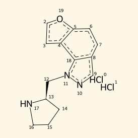 Cl.Cl.c1cc2c(ccc3cnn(C[C@H]4CCCN4)c32)o1